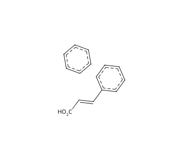 O=C(O)C=Cc1ccccc1.c1ccccc1